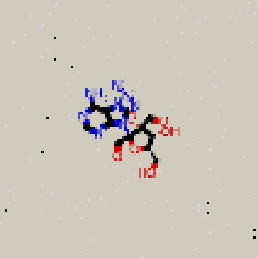 [N-]=[N+]=NO[C@]1(C=O)[C@H](O)[C@@H](CO)O[C@@]1(C=O)n1cnc2c(N)ncnc21